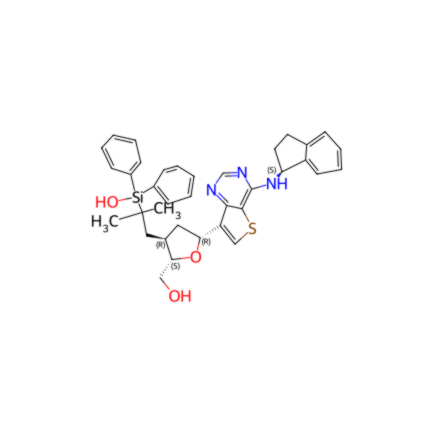 CC(C)(C[C@H]1C[C@H](c2csc3c(N[C@H]4CCc5ccccc54)ncnc23)O[C@@H]1CO)[Si](O)(c1ccccc1)c1ccccc1